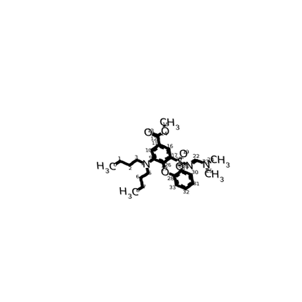 CCCCN(CCCC)c1cc(C(=O)OC)cc(S(=O)(=O)/N=C/N(C)C)c1Oc1ccccc1